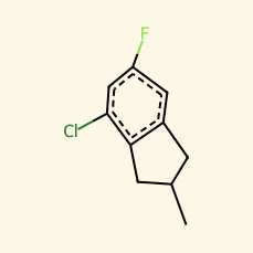 CC1Cc2cc(F)cc(Cl)c2C1